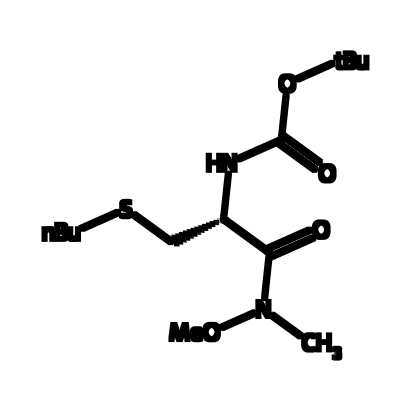 CCCCSC[C@H](NC(=O)OC(C)(C)C)C(=O)N(C)OC